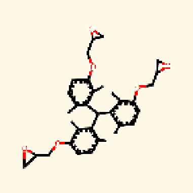 Cc1ccc(OCC2CO2)c(C)c1C(c1c(C)ccc(OCC2CO2)c1C)c1c(C)ccc(OCC2CO2)c1C